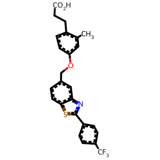 Cc1cc(OCc2ccc3sc(-c4ccc(C(F)(F)F)cc4)nc3c2)ccc1CCC(=O)O